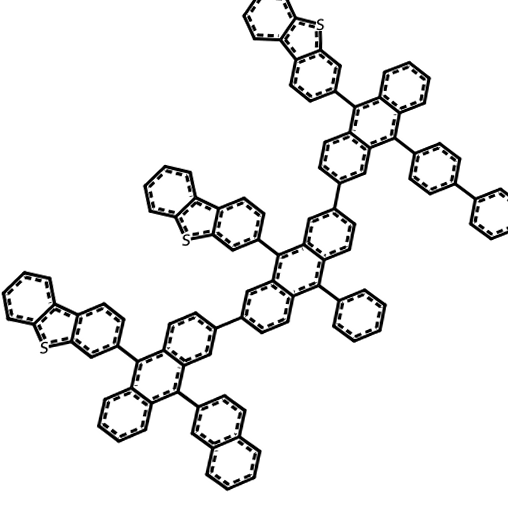 c1ccc(-c2ccc(-c3c4ccccc4c(-c4ccc5c(c4)sc4ccccc45)c4ccc(-c5ccc6c(-c7ccccc7)c7ccc(-c8ccc9c(-c%10ccc%11c(c%10)sc%10ccccc%10%11)c%10ccccc%10c(-c%10ccc%11ccccc%11c%10)c9c8)cc7c(-c7ccc8c(c7)sc7ccccc78)c6c5)cc34)cc2)cc1